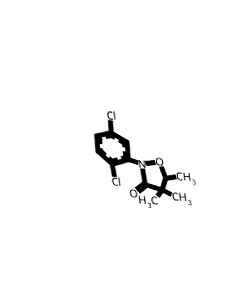 CC1ON(c2cc(Cl)ccc2Cl)C(=O)C1(C)C